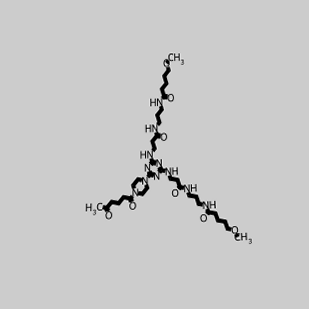 COCCCCC(=O)NCCCNC(=O)CCNc1nc(NCCC(=O)NCCCNC(=O)CCCCOC)nc(N2CCN(C(=O)CCCC(C)=O)CC2)n1